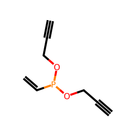 C#CCOP(C=C)OCC#C